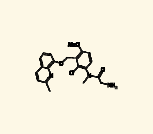 COc1ccc(N(C)C(=O)CN)c(Cl)c1COc1cccc2ccc(C)nc12